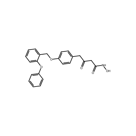 O=C(CC(=O)NO)Cc1ccc(OCc2ccccc2Oc2ccccc2)cc1